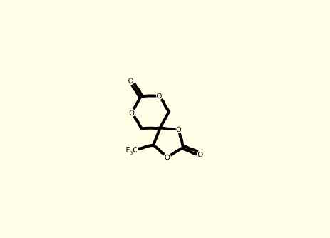 O=C1OCC2(CO1)OC(=O)OC2C(F)(F)F